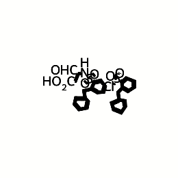 O=CC(CC(=O)O)NS(=O)(=O)c1ccccc1Cc1ccccc1.O=S(=O)(Cl)c1ccccc1Cc1ccccc1